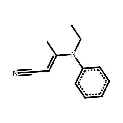 CCN(C(C)=CC#N)c1ccccc1